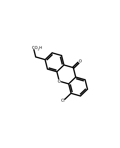 O=C(O)Cc1ccc2c(=O)c3cccc(Cl)c3oc2c1